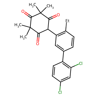 CCc1ccc(-c2ccc(Cl)cc2Cl)cc1C1C(=O)C(C)(C)C(=O)C(C)(C)C1=O